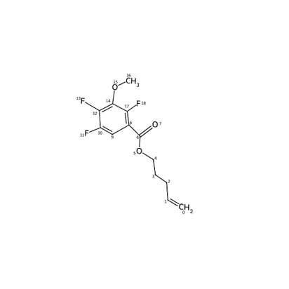 C=CCCCOC(=O)c1cc(F)c(F)c(OC)c1F